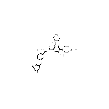 Bc1cc(C(=O)Nc2n[nH]c3ccc(Cc4cc(F)cc(F)c4)cc23)c(NC2CCOCC2)c(B)c1N1CCN(C)CC1